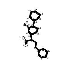 O=C(O)C(CCc1ccccc1)c1ccc(-c2ccccc2)c(Br)c1